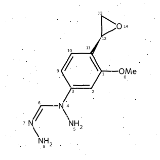 COc1cc(N(N)/C=N\N)ccc1[C@H]1CO1